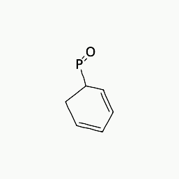 O=PC1C=CC=CC1